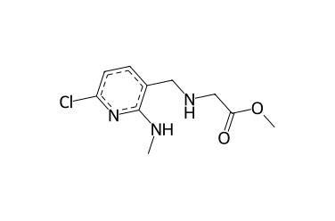 CNc1nc(Cl)ccc1CNCC(=O)OC